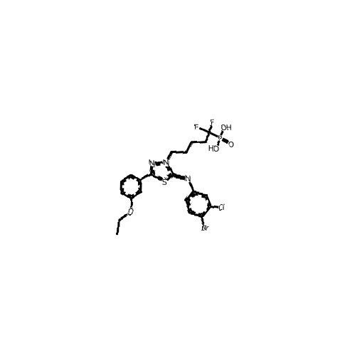 CCOc1cccc(-c2nn(CCCCC(F)(F)P(=O)(O)O)c(=Nc3ccc(Br)c(Cl)c3)s2)c1